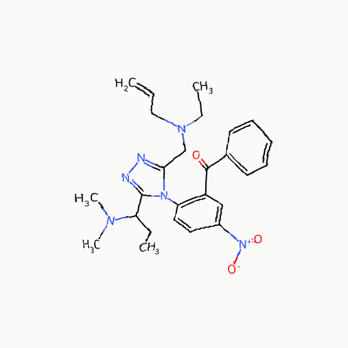 C=CCN(CC)Cc1nnc(C(CC)N(C)C)n1-c1ccc([N+](=O)[O-])cc1C(=O)c1ccccc1